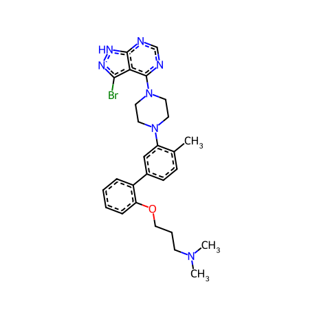 Cc1ccc(-c2ccccc2OCCCN(C)C)cc1N1CCN(c2ncnc3[nH]nc(Br)c23)CC1